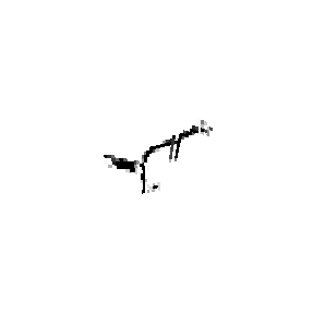 CC(C)NC[PH](=O)O